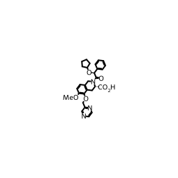 COc1ccc2c(c1OCc1cnccn1)C[C@@H](C(=O)O)N(C(=O)[C@@H](OC1CCCC1)c1ccccc1)C2